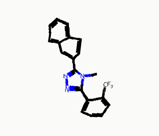 Cn1c(-c2ccc3ccccc3c2)nnc1-c1ccccc1C(F)(F)F